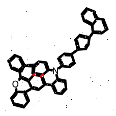 c1ccc(-c2ccc(N(c3ccc(-c4ccc(-c5cccc6ccccc56)cc4)cc3)c3ccccc3-c3cc4c5c(cccc5c3)Oc3ccccc3-4)cc2)cc1